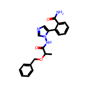 CC(OCc1ccccc1)C(=O)Nn1cncc1-c1ccccc1C(N)=O